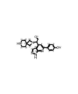 O=CC(c1cc(-c2ccc(O)cc2)nc2[nH]ncc12)N1CC2(CCNCC2)C1